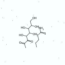 CC(=O)C(=O)C(O)C(O)C(O)C(O)CO.CCCSC(N)=S